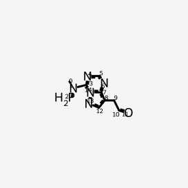 CN(P)c1ncnc2c(CC=O)cnn12